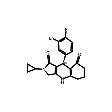 O=C1CCCC2=C1[C@H](c1ccc(F)c(Br)c1)C1=C(CN(C3CC3)C1=O)N2